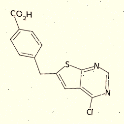 O=C(O)c1ccc(Cc2cc3c(Cl)ncnc3s2)cc1